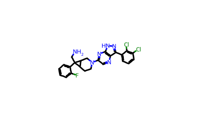 NCC1(c2ccccc2F)C2CCN(c3cnc4c(-c5cccc(Cl)c5Cl)n[nH]c4n3)CC21